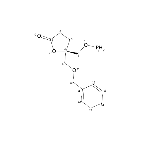 O=C1CC[C@](COP)(COCC2=CCCC=C2)O1